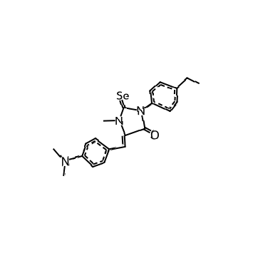 CCc1ccc(N2C(=O)C(=Cc3ccc(N(C)C)cc3)N(C)C2=[Se])cc1